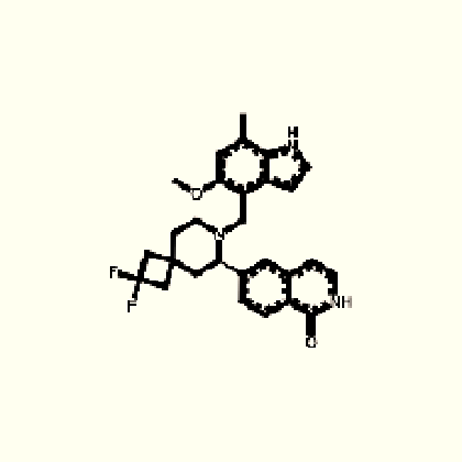 COc1cc(C)c2[nH]ccc2c1CN1CCC2(C[C@@H]1c1ccc3c(=O)[nH]ccc3c1)CC(F)(F)C2